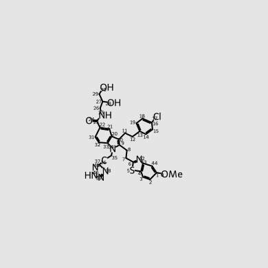 COc1ccc2sc(CCc3c(CCc4ccc(Cl)cc4)c4cc(C(=O)NCC(O)CO)ccc4n3CCc3nn[nH]n3)nc2c1